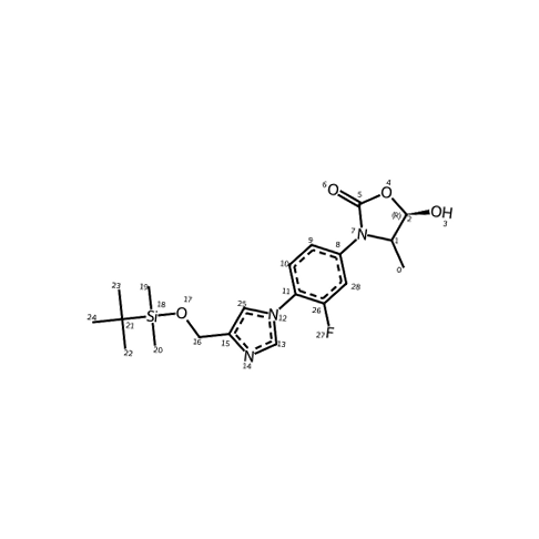 CC1[C@H](O)OC(=O)N1c1ccc(-n2cnc(CO[Si](C)(C)C(C)(C)C)c2)c(F)c1